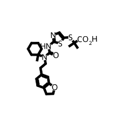 CC(C)(Sc1cnc(NC(=O)N(CCc2ccc3c(c2)OCC3)C2(C)CCCCC2)s1)C(=O)O